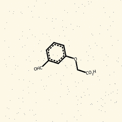 O=Cc1cccc(OCC(=O)O)c1